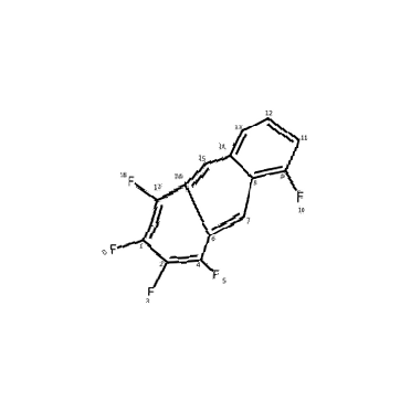 Fc1c(F)c(F)c2cc3c(F)cccc3cc2c1F